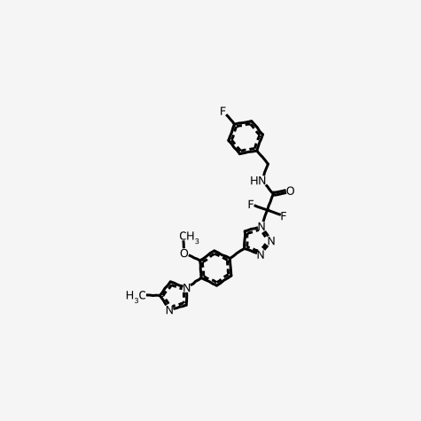 COc1cc(-c2cn(C(F)(F)C(=O)NCc3ccc(F)cc3)nn2)ccc1-n1cnc(C)c1